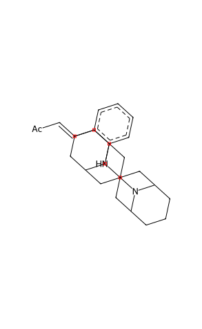 CC(=O)/C=C/c1ccccc1NC1CC2CCCC(C1)N2C1CC2CCCC(C2)C1